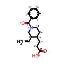 C=CC1CN(C(=O)c2ccccc2)CCC1CCC(=O)O